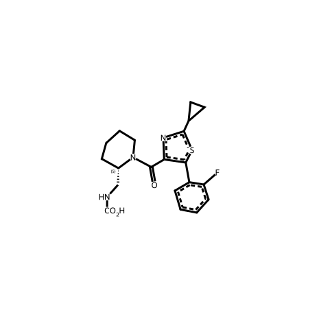 O=C(O)NC[C@@H]1CCCCN1C(=O)c1nc(C2CC2)sc1-c1ccccc1F